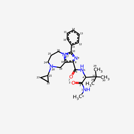 CNC(=O)C(NC(=O)c1nc(-c2ccccc2)n2c1CN(C1CC1)CCC2)C(C)(C)C